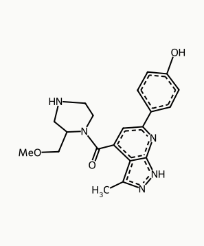 COCC1CNCCN1C(=O)c1cc(-c2ccc(O)cc2)nc2[nH]nc(C)c12